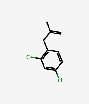 C=C(C)Cc1ccc(Cl)cc1Cl